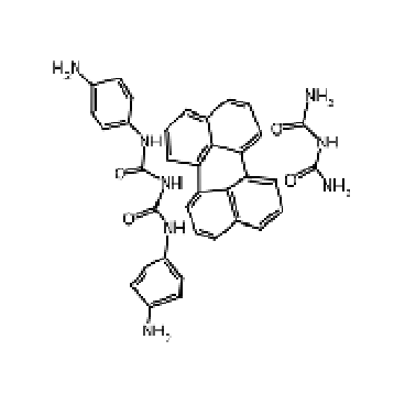 NC(=O)NC(N)=O.Nc1ccc(NC(=O)NC(=O)Nc2ccc(N)cc2)cc1.c1cc2cccc3c4cccc5cccc(c(c1)c23)c54